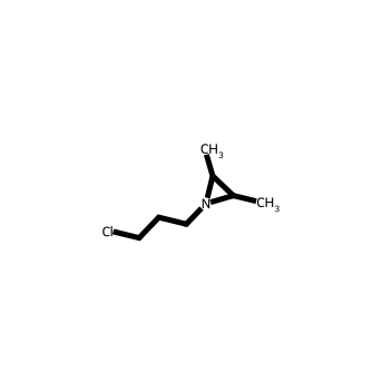 CC1C(C)N1CCCCl